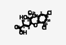 CC(=CC(Oc1ccc(Cl)cc1Cl)C(=O)O)C(=O)O.[Cu]